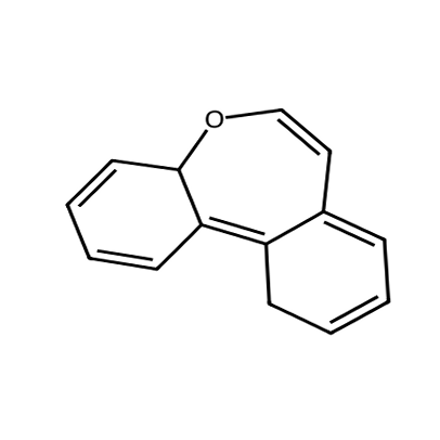 C1=CCC2=C3C=CC=CC3OC=CC2=C1